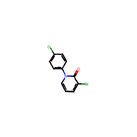 O=c1c(Br)cccn1-c1ccc(Cl)cc1